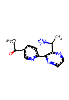 COC(=O)c1ccc(-c2nccnc2C(C)N)nc1